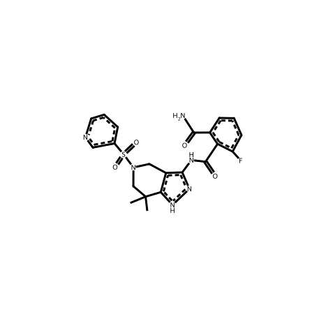 CC1(C)CN(S(=O)(=O)c2cccnc2)Cc2c(NC(=O)c3c(F)cccc3C(N)=O)n[nH]c21